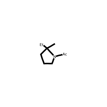 CCC1(C)CCCN1C(C)=O